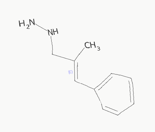 C/C(=C\c1ccccc1)CNN